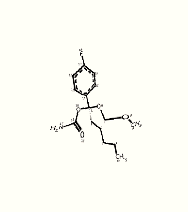 CCCCC[C@](OCOC)(OC(N)=O)c1ccc(F)cc1